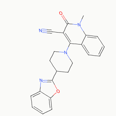 Cn1c(=O)c(C#N)c(N2CCC(c3nc4ccccc4o3)CC2)c2ccccc21